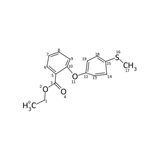 CCOC(=O)c1ccccc1Oc1ccc(SC)cc1